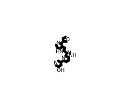 Oc1cncc(-c2ccc3[nH]nc(-c4cc5c(-c6ccoc6)nccc5[nH]4)c3n2)c1